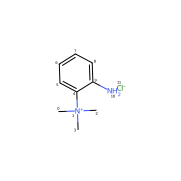 C[N+](C)(C)c1ccccc1N.[Cl-]